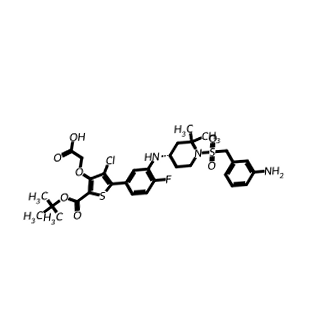 CC(C)(C)OC(=O)c1sc(-c2ccc(F)c(N[C@H]3CCN(S(=O)(=O)Cc4cccc(N)c4)C(C)(C)C3)c2)c(Cl)c1OCC(=O)O